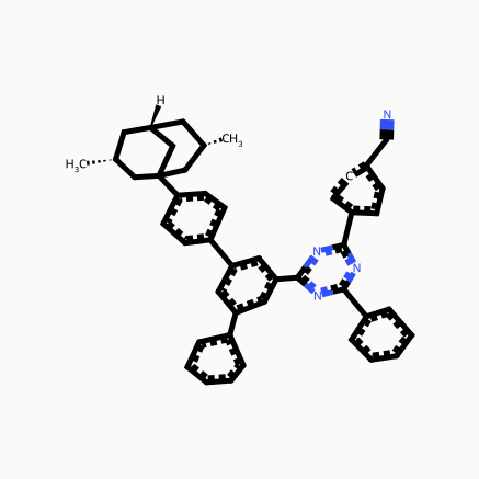 C[C@@H]1C[C@@H]2C[C@H](C)CC(c3ccc(-c4cc(-c5ccccc5)cc(-c5nc(-c6ccccc6)nc(-c6ccc(C#N)cc6)n5)c4)cc3)(C1)C2